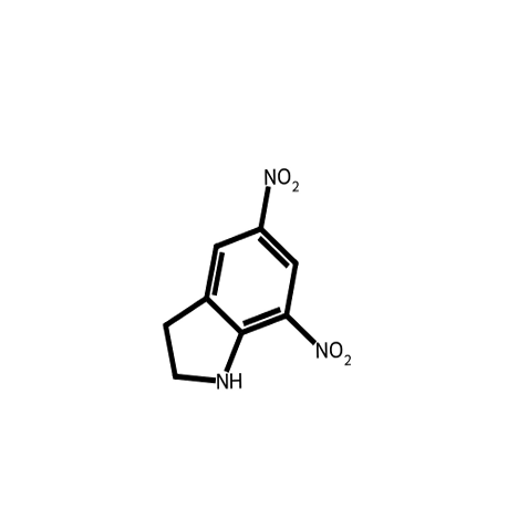 O=[N+]([O-])c1cc2c(c([N+](=O)[O-])c1)NCC2